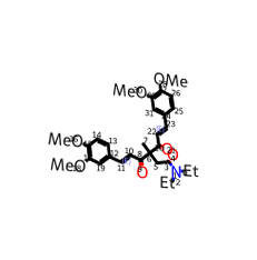 CCN(CC)C(=O)CC(C)(C(=O)/C=C/c1ccc(OC)c(OC)c1)C(=O)/C=C/c1ccc(OC)c(OC)c1